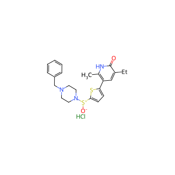 CCc1cc(-c2ccc([S+]([O-])N3CCN(Cc4ccccc4)CC3)s2)c(C)[nH]c1=O.Cl